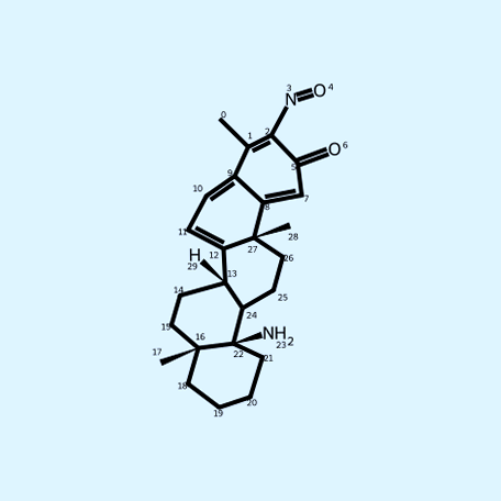 CC1=C(N=O)C(=O)C=C2C1=CC=C1[C@H]3CC[C@@]4(C)CCCC[C@@]4(N)C3CC[C@@]21C